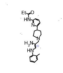 CCC(=O)Nc1cccc(C2CCN(C/C(N)=C/Nc3ccccc3C)CC2)n1